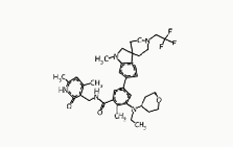 CCN(c1cc(-c2ccc3c(c2)N(C)CC32CCN(CC(F)(F)F)CC2)cc(C(=O)NCc2c(C)cc(C)[nH]c2=O)c1C)C1CCOCC1